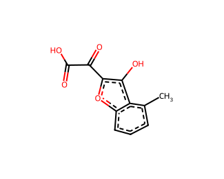 Cc1cccc2oc(C(=O)C(=O)O)c(O)c12